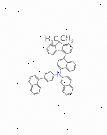 CC1(C)c2ccccc2-c2c(-c3ccc(N(c4ccc(-c5cccc6ccccc56)cc4)c4ccc5ccccc5c4)c4ccccc34)cccc21